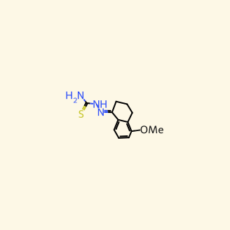 COc1cccc2c1CCCC2=NNC(N)=S